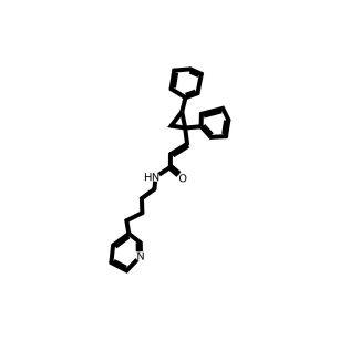 O=C(/C=C/C1(c2ccccc2)CC1c1ccccc1)NCCCCc1cccnc1